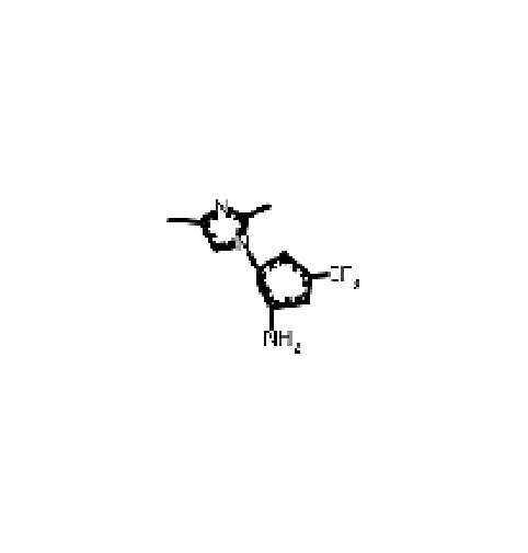 Cc1cn(-c2cc(N)cc(C(F)(F)F)c2)c(C)n1